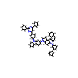 c1ccc(-c2cccc(-n3c4ccc5ccccc5c4c4c5ccn(-c6ccc7c8ccccc8n(-c8ccc(-c9cc(-c%10ccccc%10)nc(-c%10ccccc%10)n9)cc8)c7c6)c5ccc43)c2)cc1